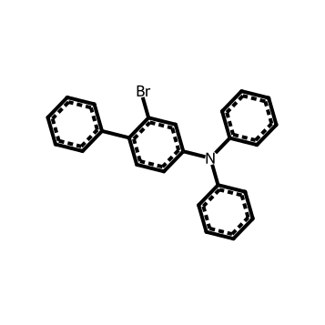 Brc1cc(N(c2ccccc2)c2ccccc2)ccc1-c1ccccc1